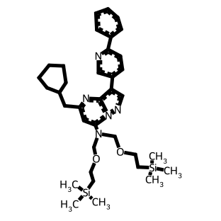 C[Si](C)(C)CCOCN(COCC[Si](C)(C)C)c1cc(CC2CCCCC2)nc2c(-c3ccc(-c4ccccc4)nc3)cnn12